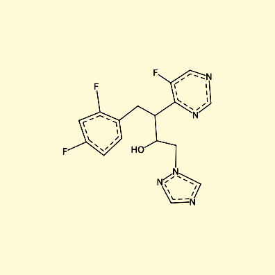 OC(Cn1cncn1)C(Cc1ccc(F)cc1F)c1ncncc1F